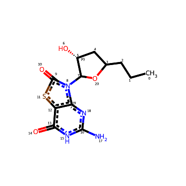 CCCC1C[C@@H](O)C(n2c(=O)sc3c(=O)[nH]c(N)nc32)O1